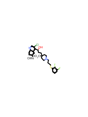 COc1ccc2ncc(Cl)c([C@@H](O)CCC3(C(=O)O)CCN(CCCSc4cccc(F)c4F)CC3)c2c1